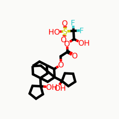 O=C(COC1C2CC3CC(C4(O)CCCC4)(C2)CC1(C1(O)CCCC1)C3)OC(O)C(F)(F)S(=O)(=O)O